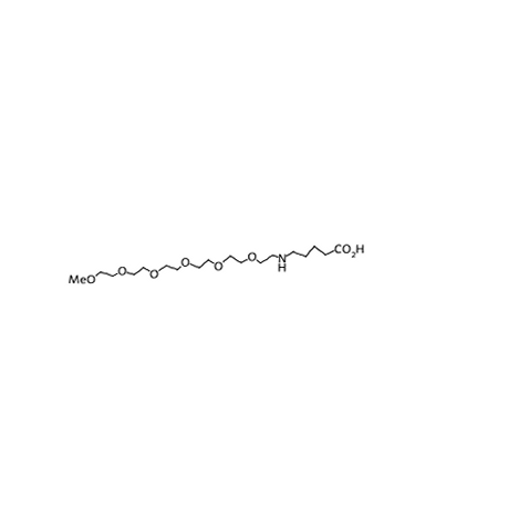 COCCOCCOCCOCCOCCOCCNCCCCC(=O)O